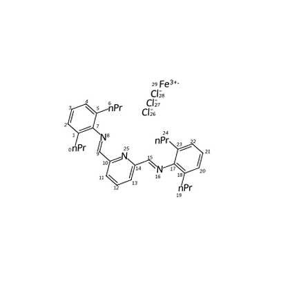 CCCc1cccc(CCC)c1N=Cc1cccc(C=Nc2c(CCC)cccc2CCC)n1.[Cl-].[Cl-].[Cl-].[Fe+3]